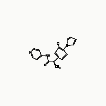 C[C@@H](C(=O)Nc1ccncc1)c1ccc(-n2cccc2)c(Cl)c1